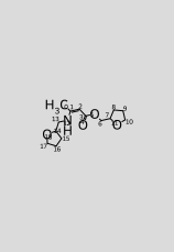 C/C(=C/C(=O)OCC1CCCO1)NCC1CCCO1